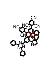 N#Cc1cc(C#N)c(-c2ccc3c(c2)c2ccccc2n3-c2ccc(-c3nc(-c4ccccc4)nc(-c4ccccc4)n3)cc2-c2ncccc2-n2c3ccccc3c3cc(-c4c(C#N)cc(C#N)cc4C#N)ccc32)c(C#N)c1